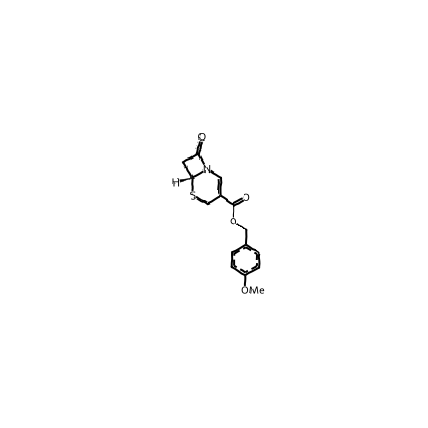 COc1ccc(COC(=O)C2=CN3C(=O)C[C@H]3SC2)cc1